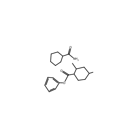 CC1CCC(C(=O)Oc2ccccc2)C(C)C1.NC(=O)C1CCCCC1